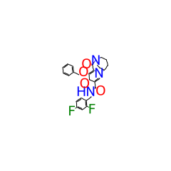 O=C(NCc1ccc(F)cc1F)c1cn2c(c(OCc3ccccc3)c1=O)C(=O)N1CCCC2CC1